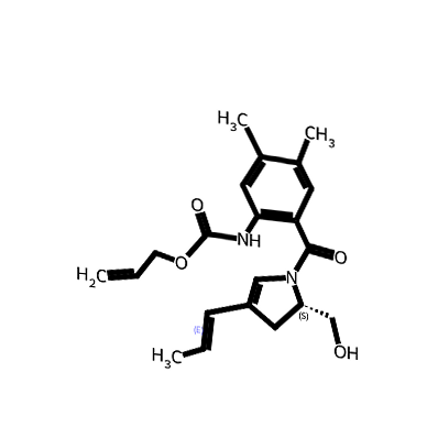 C=CCOC(=O)Nc1cc(C)c(C)cc1C(=O)N1C=C(/C=C/C)C[C@H]1CO